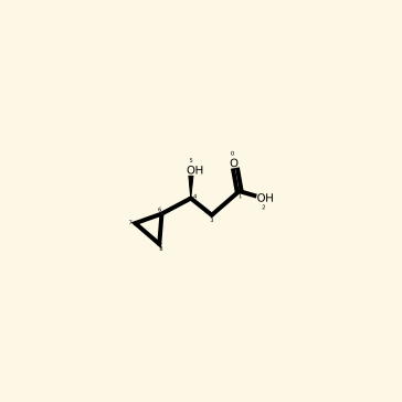 O=C(O)C[C@H](O)C1CC1